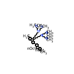 CCCCCCCCC1(CCCCCCCC)c2cc(C)ccc2-c2ccc(-c3ccc4c(c3)C(CCCCCCN(CCCN(C)C)CCCN(C)C)(CCCCCCN(CCCN(C)C)CCCN(C)C)c3cc(C)ccc3-4)cc21